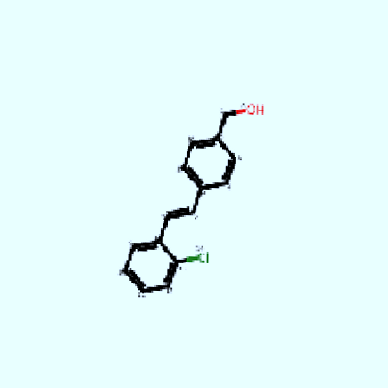 OCc1ccc(/C=C/c2ccccc2Cl)cc1